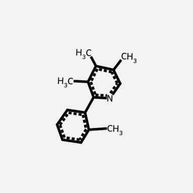 Cc1ccccc1-c1ncc(C)c(C)c1C